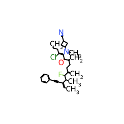 C=CC/C(Cl)=C(/C(=O)C(=C)CCC(=C)C(F)C(C)/C(C#Cc1ccccc1)=C\C)N(C)C1CC(C#N)C1